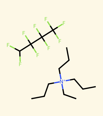 CCC[N+](CC)(CCC)CCC.FC(F)C(F)(F)C(F)(F)C(F)(F)F